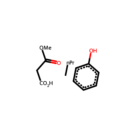 CCCC.COC(=O)CC(=O)O.Oc1ccccc1